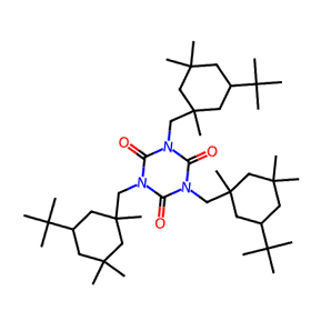 CC1(C)CC(C(C)(C)C)CC(C)(Cn2c(=O)n(CC3(C)CC(C(C)(C)C)CC(C)(C)C3)c(=O)n(CC3(C)CC(C(C)(C)C)CC(C)(C)C3)c2=O)C1